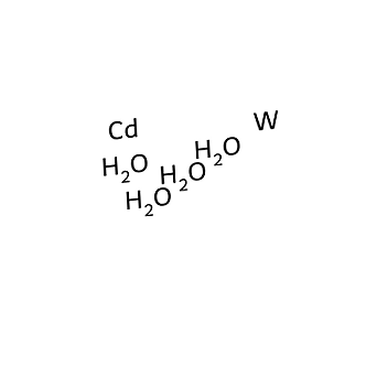 O.O.O.O.[Cd].[W]